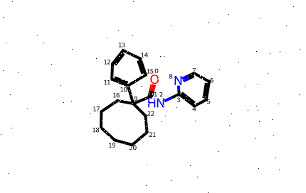 O=C(Nc1ccccn1)C1(c2ccccc2)CCCCCCC1